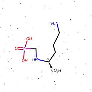 NCCC[C@H](NCP(=O)(O)O)C(=O)O